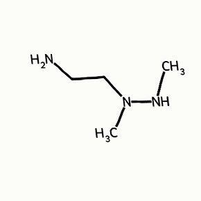 CNN(C)CCN